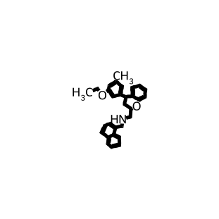 CCOc1cc(C)cc(C2CC(CNCc3cccc4ccccc34)Oc3ccccc32)c1